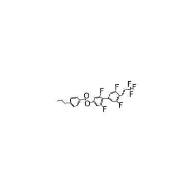 CCCc1ccc(C(=O)Oc2cc(F)c(-c3cc(F)c(/C=C/C(F)(F)F)c(F)c3)c(F)c2)cc1